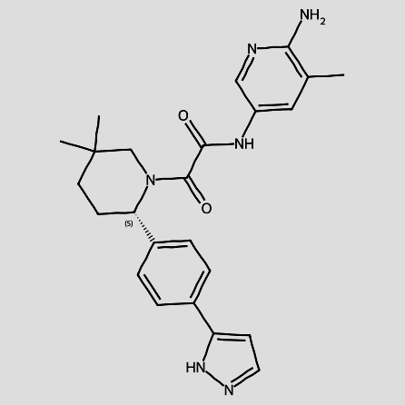 Cc1cc(NC(=O)C(=O)N2CC(C)(C)CC[C@H]2c2ccc(-c3ccn[nH]3)cc2)cnc1N